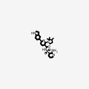 CC1CCN(c2nc(-c3ccc4[nH]ccc4c3)ccc2C(=O)NS(=O)(=O)c2cccnc2N)C1(C)C